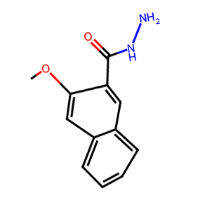 COc1cc2ccccc2cc1C(=O)NN